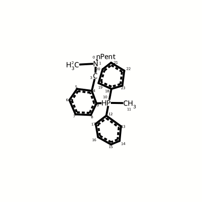 CCCCCN(C)Cc1ccccc1[PH](C)(c1ccccc1)c1ccccc1